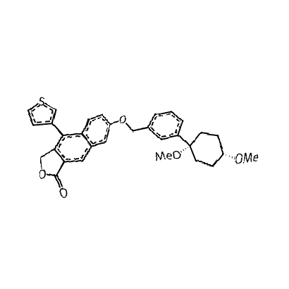 CO[C@H]1CC[C@](OC)(c2cccc(COc3ccc4c(-c5ccsc5)c5c(cc4c3)C(=O)OC5)c2)CC1